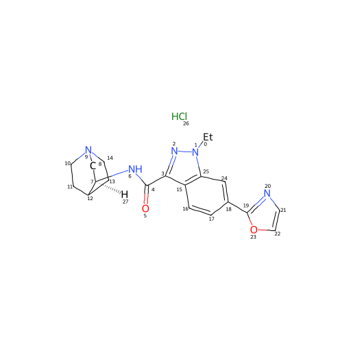 CCn1nc(C(=O)N[C@@H]2CN3CCC2CC3)c2ccc(-c3ncco3)cc21.Cl